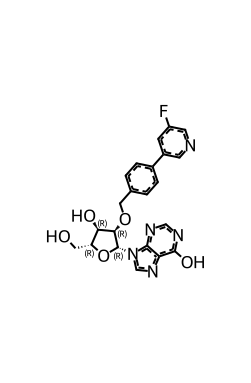 OC[C@H]1O[C@@H](n2cnc3c(O)ncnc32)[C@H](OCc2ccc(-c3cncc(F)c3)cc2)[C@@H]1O